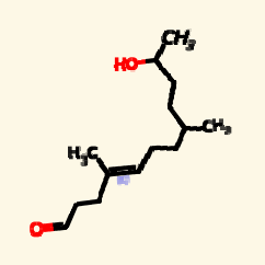 C/C(=C\CCC(C)CCC(C)O)CCC=O